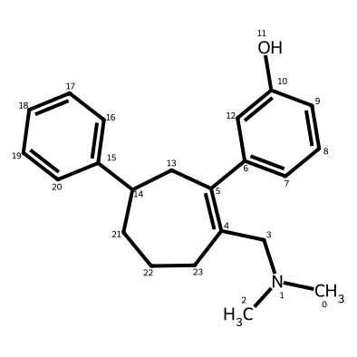 CN(C)CC1=C(c2cccc(O)c2)CC(c2ccccc2)CCC1